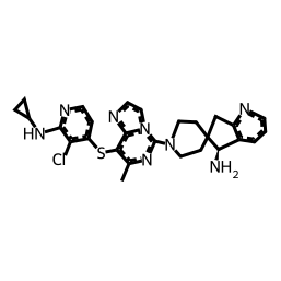 Cc1nc(N2CCC3(CC2)Cc2ncccc2[C@H]3N)n2ccnc2c1Sc1ccnc(NC2CC2)c1Cl